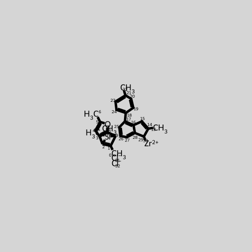 CC1=C2c3cc(C)oc3C1[Si]2(C)C.CC1=Cc2c(-c3ccc(C)cc3)cccc2[CH]1[Zr+2].[Cl-].[Cl-]